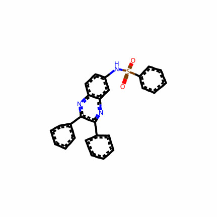 O=S(=O)(Nc1ccc2nc(-c3ccccc3)c(-c3ccccc3)nc2c1)c1ccccc1